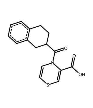 O=C(O)C1=CSC=CN1C(=O)C1CCc2ccccc2C1